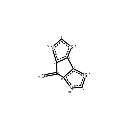 O=C1c2ncsc2-c2scnc21